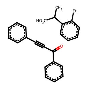 CCc1ccccc1C(C)C(=O)O.O=C(C#Cc1ccccc1)c1ccccc1